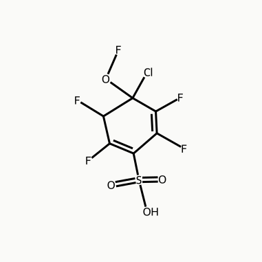 O=S(=O)(O)C1=C(F)C(F)C(Cl)(OF)C(F)=C1F